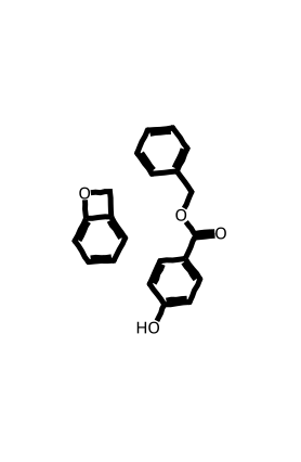 O=C(OCc1ccccc1)c1ccc(O)cc1.c1ccc2c(c1)CO2